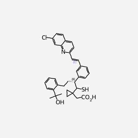 CC(C)(O)c1ccccc1CC[C@H](c1cccc(/C=C/c2ccc3ccc(Cl)cc3n2)c1)C(S)C1(CC(=O)O)CC1